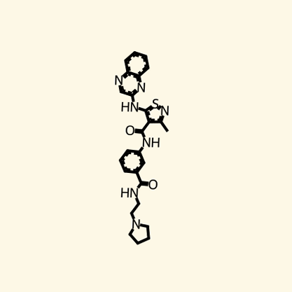 Cc1nsc(Nc2cnc3ccccc3n2)c1C(=O)Nc1cccc(C(=O)NCCN2CCCC2)c1